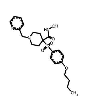 CCCCOc1ccc(S(=O)(=O)C2(C(=O)NO)CCN(Cc3ccccn3)CC2)cc1